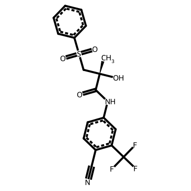 C[C@](O)(CS(=O)(=O)c1ccccc1)C(=O)Nc1ccc(C#N)c(C(F)(F)F)c1